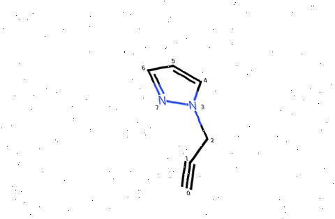 [C]#CCn1cccn1